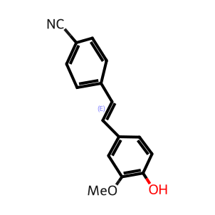 COc1cc(/C=C/c2ccc(C#N)cc2)ccc1O